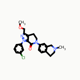 COCc1nn(-c2cccc(Cl)c2)c2c1CCN(c1ccc3c(c1)CN(C)CC3)C2=O